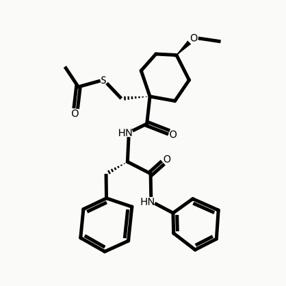 CO[C@H]1CC[C@@](CSC(C)=O)(C(=O)N[C@@H](Cc2ccccc2)C(=O)Nc2ccccc2)CC1